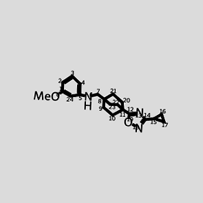 COc1cccc(NCC23CCC(c4nc(C5CC5)no4)(CC2)CC3)c1